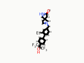 CCc1cc(CN2CCC3(CNC(=O)C3)C2)ccc1-c1ccc(C(O)(C(F)(F)F)C(F)(F)F)cc1